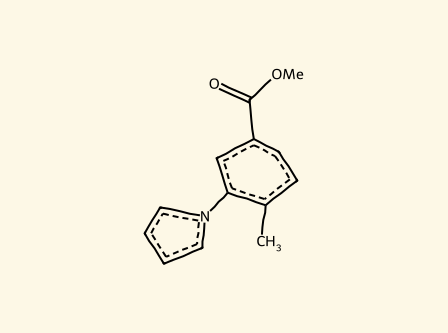 COC(=O)c1ccc(C)c(-n2cccc2)c1